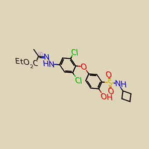 CCOC(=O)/C(C)=N\Nc1cc(Cl)c(Oc2ccc(O)c(S(=O)(=O)NC3CCC3)c2)c(Cl)c1